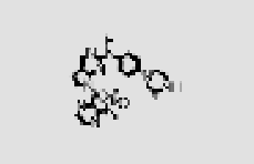 C[C@@H]1CN(c2ccc(Nc3ncc4ccn(Cc5nccnc5N(C)S(C)(=O)=O)c4n3)cc2)CCN1